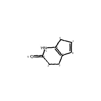 O=C1CCC2=C(CC=C2)N1